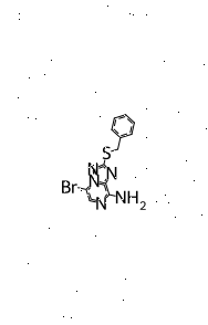 Nc1ncc(Br)n2nc(SCc3ccccc3)nc12